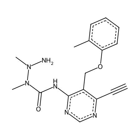 C#Cc1ncnc(NC(=O)N(C)N(C)N)c1COc1ccccc1C